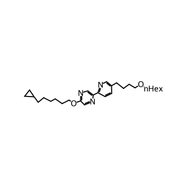 CCCCCCOCCCCc1ccc(-c2cnc(OCCCCCCC3CC3)cn2)nc1